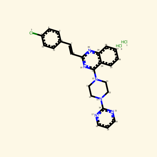 Cl.Cl.Clc1ccc(C=Cc2nc(N3CCN(c4ncccn4)CC3)c3ccccc3n2)cc1